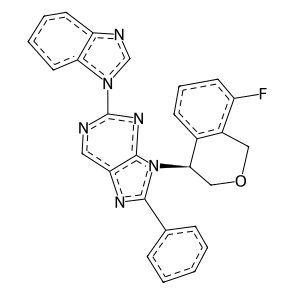 Fc1cccc2c1COC[C@H]2n1c(-c2ccccc2)nc2cnc(-n3cnc4ccccc43)nc21